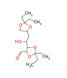 CCC1(CC)OCC(CC(O)C2OC(CC)(CC)OC2C=O)O1